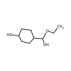 CCOC(O)C1CCC(O)CC1